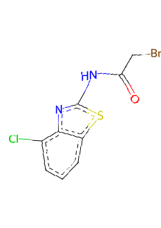 O=C(CBr)Nc1nc2c(Cl)cccc2s1